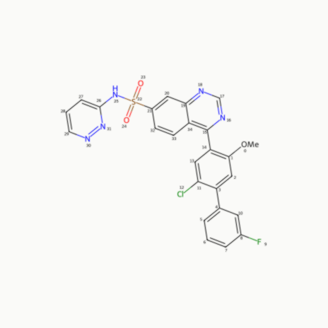 COc1cc(-c2cccc(F)c2)c(Cl)cc1-c1ncnc2cc(S(=O)(=O)Nc3cccnn3)ccc12